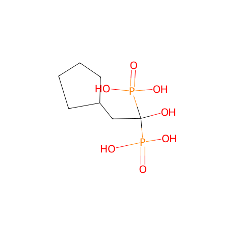 O=P(O)(O)C(O)(CC1CCCC1)P(=O)(O)O